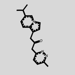 Cc1ccc(CC(=O)Cc2ccn3cc(C(C)C)ccc23)nn1